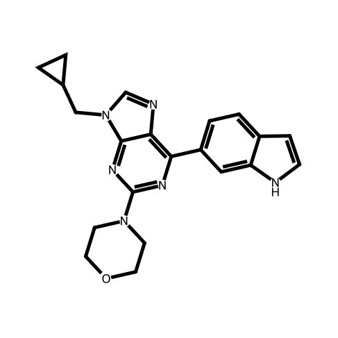 c1cc2ccc(-c3nc(N4CCOCC4)nc4c3ncn4CC3CC3)cc2[nH]1